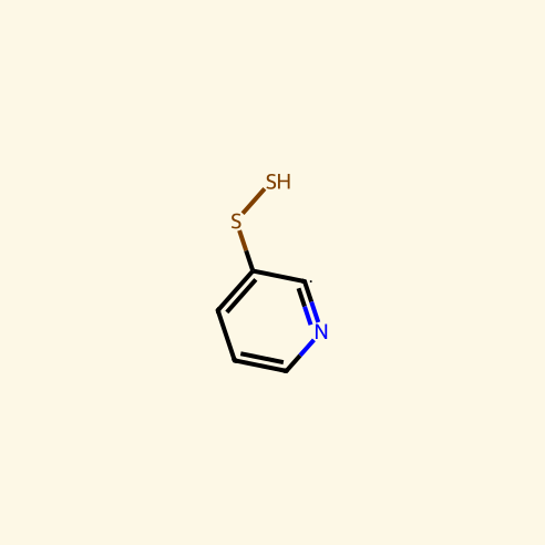 SSc1[c]nccc1